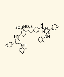 Cc1ccccc1Nc1cc(Nc2ccc(C=Cc3ccc(Nc4nc(Nc5ccccc5C)nc(N5CCOCC5)n4)cc3S(=O)(=O)O)c(S(=O)(=O)O)c2)cc(N2CCOCC2)c1